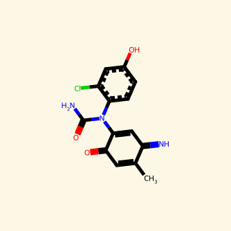 CC1=CC(=O)C(N(C(N)=O)c2ccc(O)cc2Cl)=CC1=N